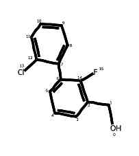 OCc1cccc(-c2ccccc2Cl)c1F